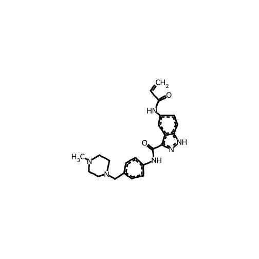 C=CC(=O)Nc1ccc2[nH]nc(C(=O)Nc3ccc(CN4CCN(C)CC4)cc3)c2c1